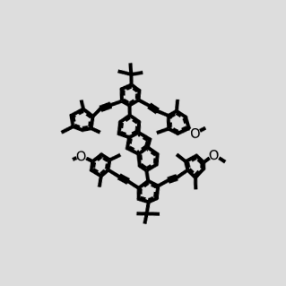 COc1cc(C)c(C#Cc2cc(C(C)(C)C)cc(C#Cc3c(C)cc(C)cc3C)c2-c2ccc3cc4cc(-c5c(C#Cc6c(C)cc(OC)cc6C)cc(C(C)(C)C)cc5C#Cc5c(C)cc(OC)cc5C)ccc4cc3c2)c(C)c1